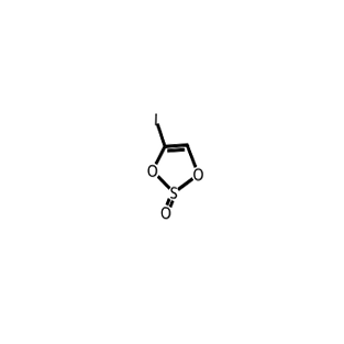 O=S1OC=C(I)O1